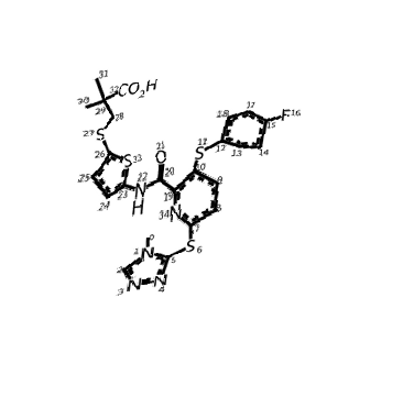 Cn1cnnc1Sc1ccc(Sc2ccc(F)cc2)c(C(=O)Nc2ccc(SCC(C)(C)C(=O)O)s2)n1